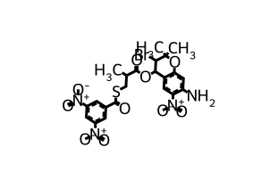 CC(CSC(=O)c1cc([N+](=O)[O-])cc([N+](=O)[O-])c1)C(=O)OC1c2cc([N+](=O)[O-])c(N)cc2OC(C)(C)C1Br